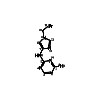 [2H]c1ccnc(Nc2cn(CC(C)C)cn2)n1